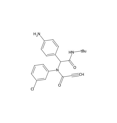 C#CC(=O)N(c1cccc(Cl)c1)C(C(=O)NC(C)(C)C)c1ccc(N)cc1